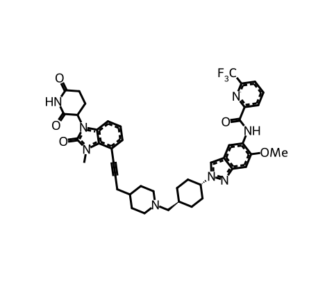 COc1cc2nn([C@H]3CC[C@H](CN4CCC(CC#Cc5cccc6c5n(C)c(=O)n6C5CCC(=O)NC5=O)CC4)CC3)cc2cc1NC(=O)c1cccc(C(F)(F)F)n1